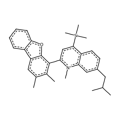 Cc1cc2c(oc3ccccc32)c(-c2cc([Si](C)(C)C)c3ccc(CC(C)C)cc3[n+]2C)c1C